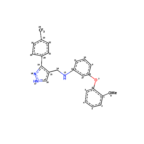 COc1ccccc1Oc1cccc(NCc2c[nH]nc2-c2ccc(C(F)(F)F)cc2)c1